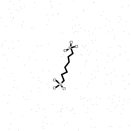 Cl[Si](Cl)(Cl)CCCCCCC[Si](Cl)(Cl)Cl